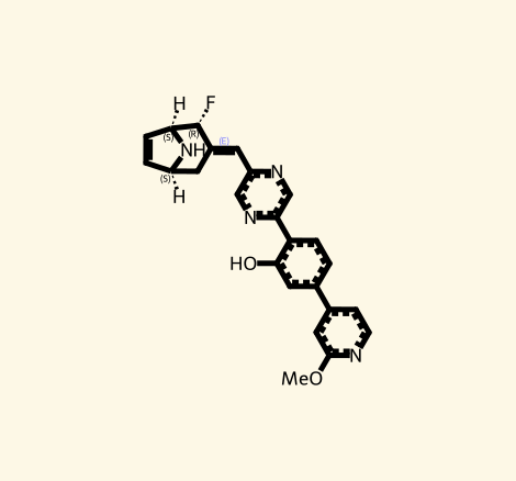 COc1cc(-c2ccc(-c3cnc(/C=C4\C[C@H]5C=C[C@H](N5)[C@@H]4F)cn3)c(O)c2)ccn1